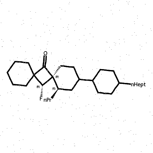 CCCCCCCC1CCC(C2CC[C@]3(C(=O)C4(CCCCC4)[C@H]3F)[C@H](CCC)C2)CC1